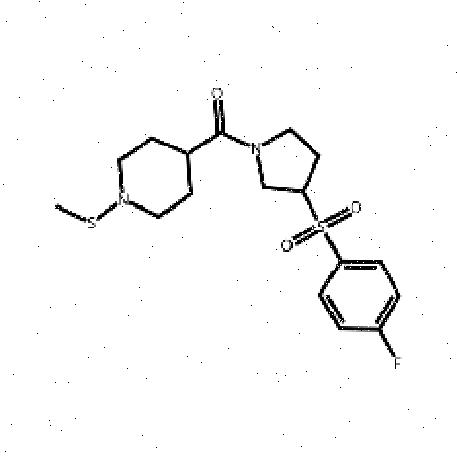 CSN1CCC(C(=O)N2CCC(S(=O)(=O)c3ccc(F)cc3)C2)CC1